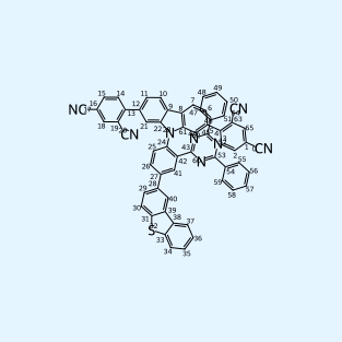 N#Cc1ccc(-c2ccc3c4ccc(-c5ccc(C#N)cc5C#N)cc4n(-c4ccc(-c5ccc6sc7ccccc7c6c5)cc4-c4nc(-c5ccccc5)nc(-c5ccccc5)n4)c3c2)c(C#N)c1